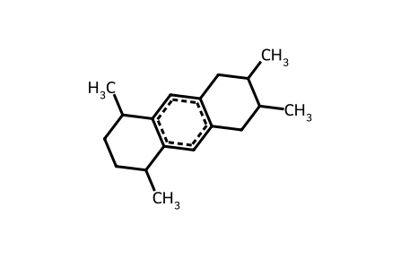 CC1CCC(C)c2cc3c(cc21)CC(C)C(C)C3